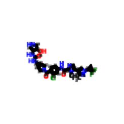 Cn1c(-c2cn(C3CC3(F)F)nc2C(F)(F)F)cnc1C(=O)Nc1ccc(C(=O)N2CC3C(C2)C3NC(=O)N[C@H]2CNC[C@@H]2O)c(Cl)c1